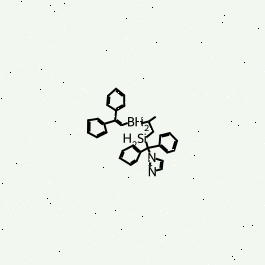 BC=C(c1ccccc1)c1ccccc1.CC(C)C[SiH2]C(c1ccccc1)(c1ccccc1)n1ccnc1